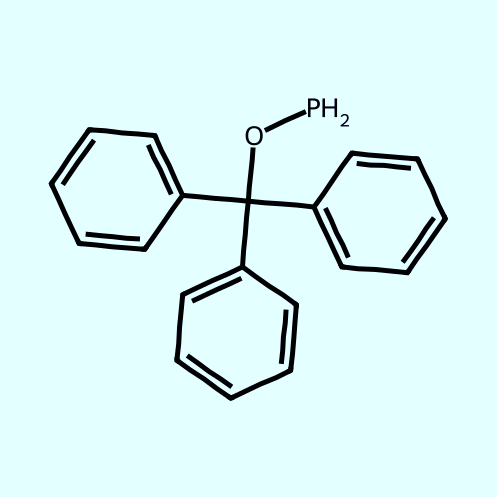 POC(c1ccccc1)(c1ccccc1)c1ccccc1